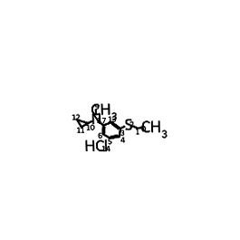 CCSc1cccc(N(C)C2CC2)c1.Cl